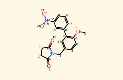 COc1ccc(CN2C(=O)CCC2=O)cc1-c1cccc([N+](=O)[O-])c1